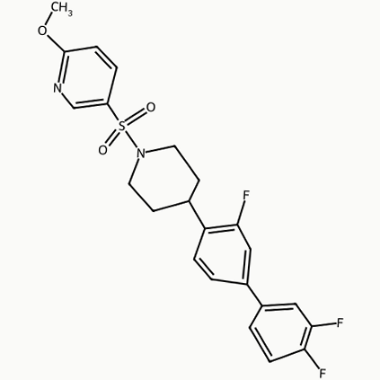 COc1ccc(S(=O)(=O)N2CCC(c3ccc(-c4ccc(F)c(F)c4)cc3F)CC2)cn1